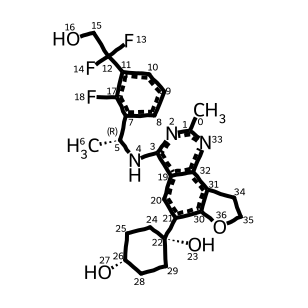 Cc1nc(N[C@H](C)c2cccc(C(F)(F)CO)c2F)c2cc([C@]3(O)CC[C@@H](O)CC3)c3c(c2n1)CCO3